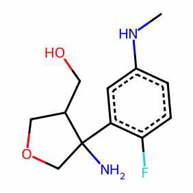 CNc1ccc(F)c(C2(N)COCC2CO)c1